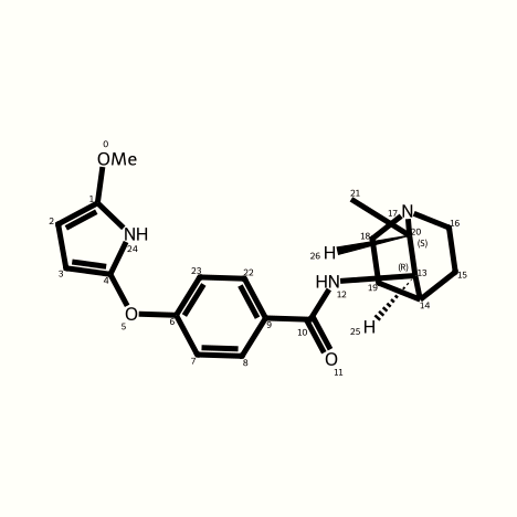 COc1ccc(Oc2ccc(C(=O)N[C@@H]3C4CCN(CC4)[C@H]3C)cc2)[nH]1